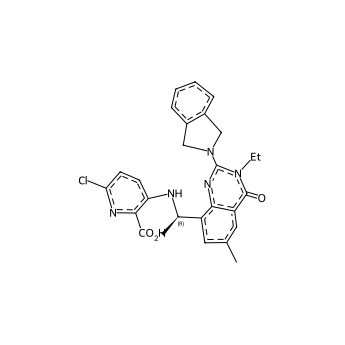 CCn1c(N2Cc3ccccc3C2)nc2c([C@@H](C)Nc3ccc(Cl)nc3C(=O)O)cc(C)cc2c1=O